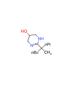 CCCCC(C)(CCC)C1=NCC(O)CN1